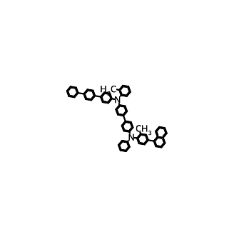 Cc1ccccc1N(c1ccc(-c2ccc(-c3ccccc3)cc2)cc1)c1ccc(-c2ccc(N(c3ccccc3)c3ccc(-c4cccc5ccccc45)cc3C)cc2)cc1